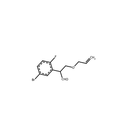 C=CCOCC(C=O)c1cc(Br)ccc1F